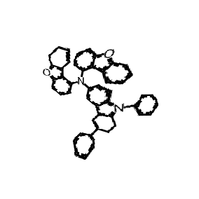 C1=Cc2c(oc3cccc(N(c4ccc5c(c4)c4c(n5-c5ccccc5)CCC(c5ccccc5)=C4)c4cccc5oc6ccccc6c45)c23)CC1